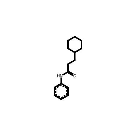 O=C([CH]CC1CCCCC1)Nc1ccccc1